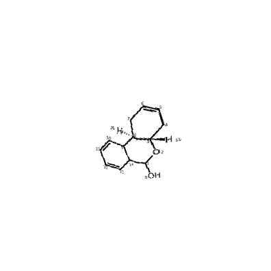 OC1O[C@H]2CC=CC[C@@H]2C2C=CC=CC12